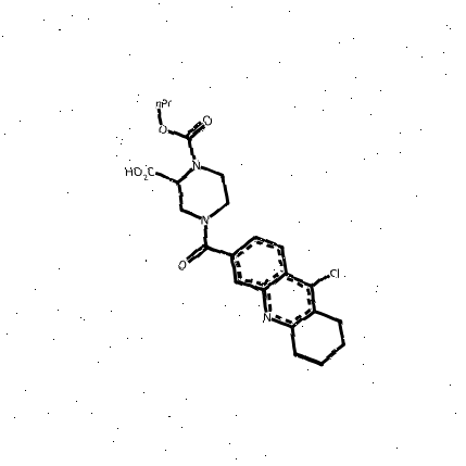 CCCOC(=O)N1CCN(C(=O)c2ccc3c(Cl)c4c(nc3c2)CCCC4)CC1C(=O)O